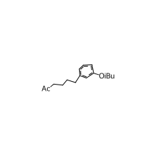 CC(=O)CCCCc1cccc(OCC(C)C)c1